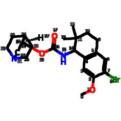 COc1cc2c(cc1Br)CCC(C)(C)C2NC(=O)O[C@H]1CN2CCC1CC2